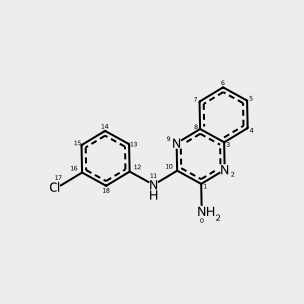 Nc1nc2ccccc2nc1Nc1cccc(Cl)c1